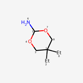 CCC1(CC)COC(N)OC1